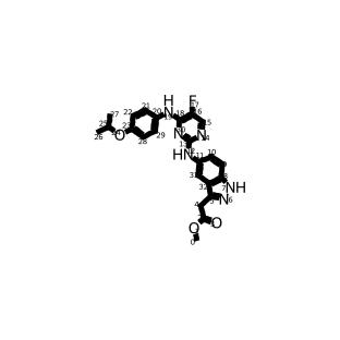 COC(=O)Cc1n[nH]c2ccc(Nc3ncc(F)c(Nc4ccc(OC(C)C)cc4)n3)cc12